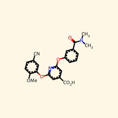 COc1ccc(C#N)cc1Oc1cc(C(=O)O)cc(Oc2cccc(C(=O)N(C)C)c2)n1